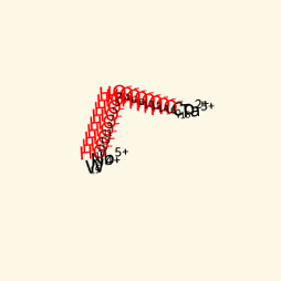 [Co+2].[Nb+5].[OH-].[OH-].[OH-].[OH-].[OH-].[OH-].[OH-].[OH-].[OH-].[OH-].[OH-].[OH-].[OH-].[OH-].[OH-].[OH-].[Ta+5].[W+4]